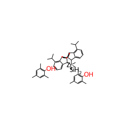 CC1=Cc2c(C(C)C)cccc2[CH]1[Zr]([CH3])([CH3])(=[SiH2])[CH]1C(C)=Cc2c(C(C)C)cccc21.Cc1cc(C)c(O)c(C)c1.Cc1cc(C)c(O)c(C)c1